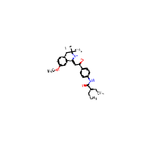 CCC(CC)C(=O)Nc1ccc(C(=O)/C=C2\NC(C)(C)Cc3ccc(OC)cc32)cc1